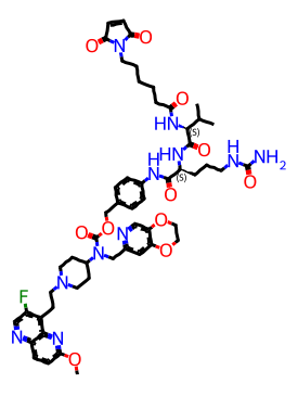 COc1ccc2ncc(F)c(CCN3CCC(N(Cc4cc5c(cn4)OCCO5)C(=O)OCc4ccc(NC(=O)[C@H](CCCNC(N)=O)NC(=O)[C@@H](NC(=O)CCCCCN5C(=O)C=CC5=O)C(C)C)cc4)CC3)c2n1